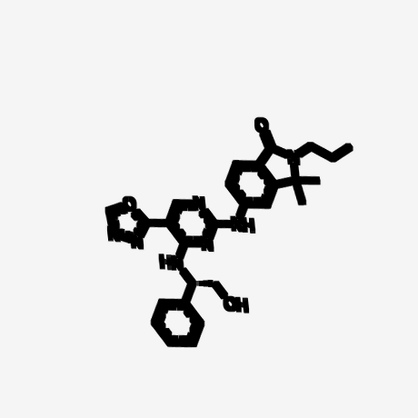 CCCN1C(=O)c2ccc(Nc3ncc(-c4nnco4)c(N[C@H](CO)c4ccccc4)n3)cc2C1(C)C